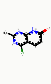 Cc1nc(Cl)c2ccc(=O)[nH]c2n1